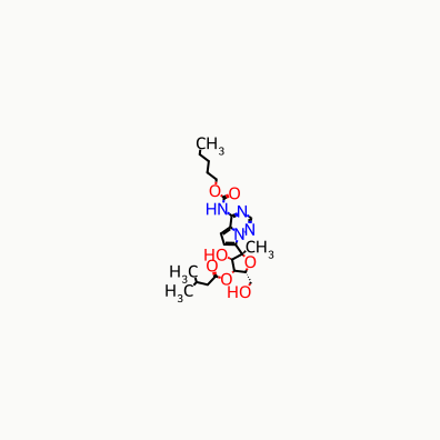 CCCCCOC(=O)Nc1ncnn2c([C@]3(C)O[C@H](CO)[C@@H](OC(=O)CC(C)C)[C@H]3O)ccc12